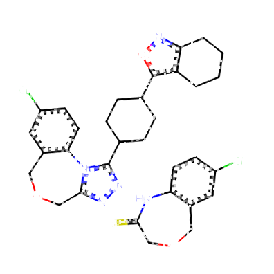 Clc1ccc2c(c1)COCc1nnc(C3CCC(c4onc5c4CCCC5)CC3)n1-2.S=C1COCc2cc(Cl)ccc2N1